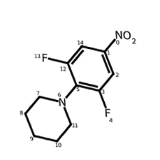 O=[N+]([O-])c1cc(F)c(N2CCCCC2)c(F)c1